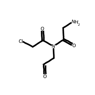 NCC(=O)N(C[C]=O)C(=O)CCl